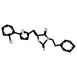 O=C1/C(=C/c2ccc(-c3ccccc3Cl)o2)SC(=S)N1CCc1ccccc1